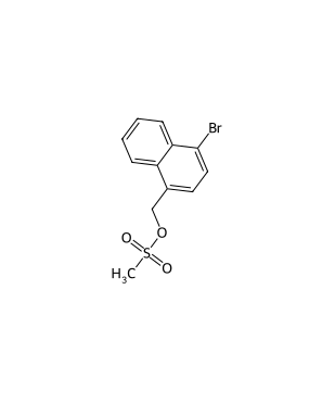 CS(=O)(=O)OCc1ccc(Br)c2ccccc12